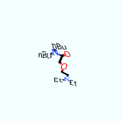 CCCCN(CCCC)C(=O)COCCN(CC)CC